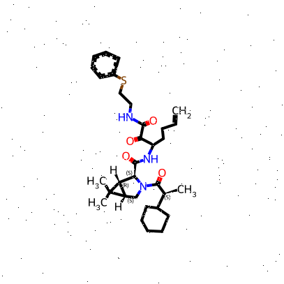 C=CCCC(NC(=O)[C@@H]1[C@@H]2[C@H](CN1C(=O)[C@@H](C)C1CCCCC1)C2(C)C)C(=O)C(=O)NCCSc1ccccc1